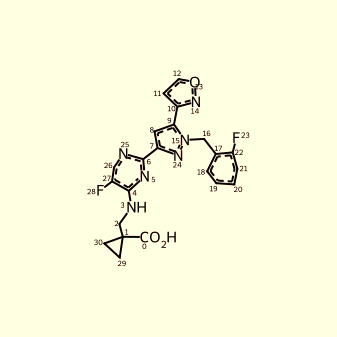 O=C(O)C1(CNc2nc(-c3cc(-c4ccon4)n(Cc4ccccc4F)n3)ncc2F)CC1